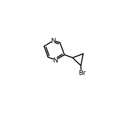 BrC1CC1c1cnccn1